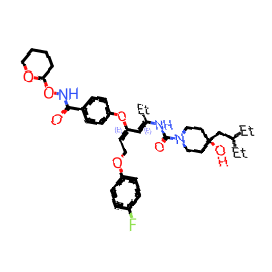 CC/C(=C\C(=C/COc1ccc(F)cc1)Oc1ccc(C(=O)NOC2CCCCO2)cc1)NC(=O)N1CCC(O)(CC(CC)CC)CC1